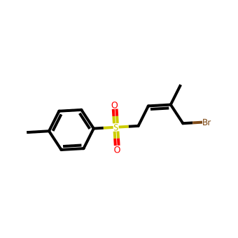 CC(=CCS(=O)(=O)c1ccc(C)cc1)CBr